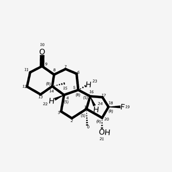 C[C@]12CC[C@H]3[C@@H](CCC4C(=O)CCC[C@@]43C)[C@@H]1C[C@@H](F)[C@@H]2O